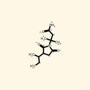 CCC(C)C1CC(=O)N(C(C)(C)CC(N)=O)C1=O